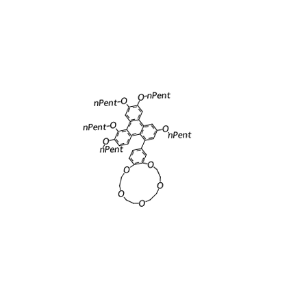 CCCCCOc1cc(-c2ccc3c(c2)OCCOCCOCCOCCO3)c2c(c1)c1cc(OCCCCC)c(OCCCCC)cc1c1c(OCCCCC)c(OCCCCC)ccc21